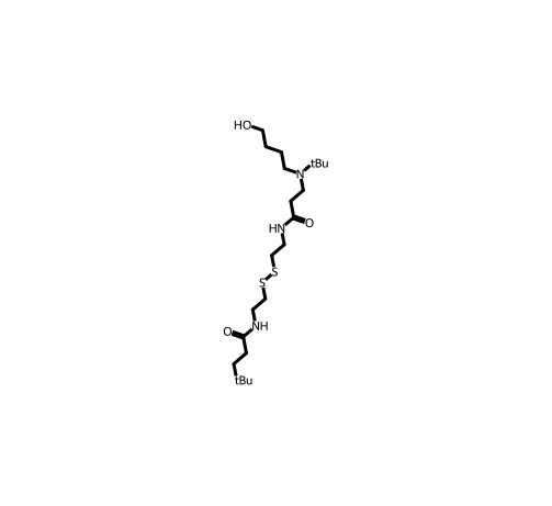 CC(C)(C)CCC(=O)NCCSSCCNC(=O)CCN(CCCCO)C(C)(C)C